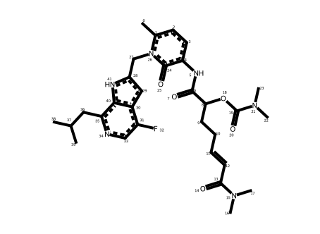 Cc1ccc(NC(=O)C(CCC=CC(=O)N(C)C)OC(=O)N(C)C)c(=O)n1Cc1cc2c(F)cnc(CC(C)C)c2[nH]1